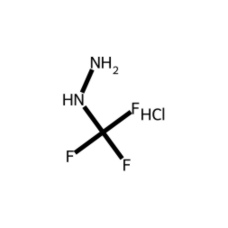 Cl.NNC(F)(F)F